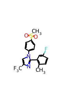 Cc1ccc(F)cc1-c1nc(C(F)(F)F)cn1-c1ccc(S(C)(=O)=O)cc1